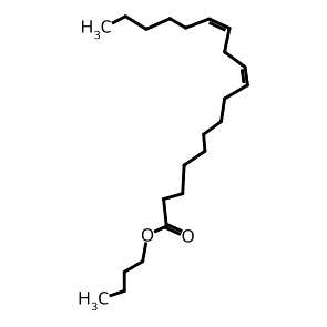 CCCCC/C=C\C/C=C\CCCCCCCC(=O)OCCCC